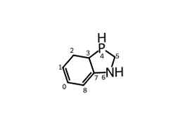 C1=CCC2PCNC2=C1